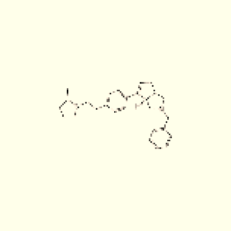 C[C@@H]1CCCN1CCc1ccc(C2=CCC3CN(Cc4ccccc4)C[C@H]23)cc1